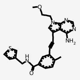 COCCn1cc(C#Cc2cc(C(=O)NCc3ccsc3)ccc2C)c2c(N)ncnc21